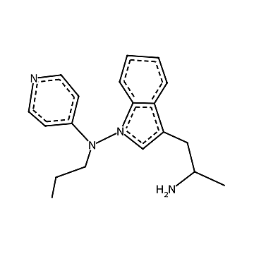 CCCN(c1ccncc1)n1cc(CC(C)N)c2ccccc21